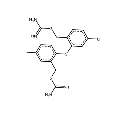 N=C(N)SCc1cc(F)ccc1Sc1cc(Cl)ccc1CSC(=N)N